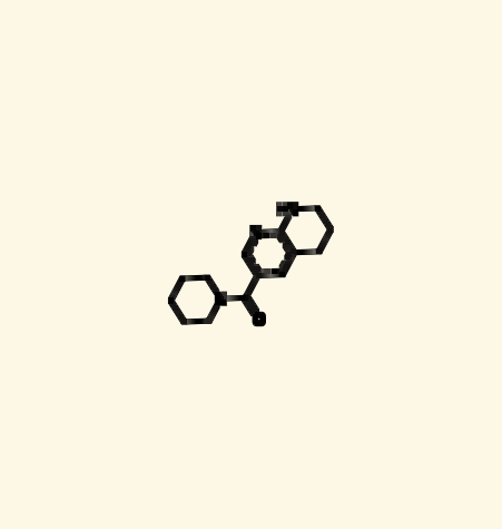 O=C(c1cnc2c(c1)CCCN2)N1CCCCC1